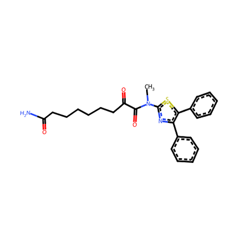 CN(C(=O)C(=O)CCCCCCC(N)=O)c1nc(-c2ccccc2)c(-c2ccccc2)s1